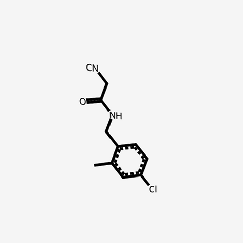 [C-]#[N+]CC(=O)NCc1ccc(Cl)cc1C